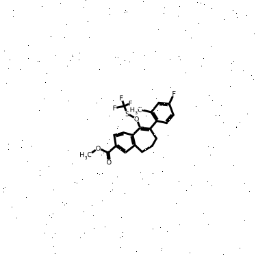 COC(=O)c1ccc2c(c1)CCCC(c1ccc(F)cc1C)=C2OSC(F)(F)F